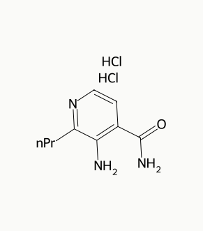 CCCc1nccc(C(N)=O)c1N.Cl.Cl